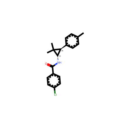 Cc1ccc([C@H]2[C@H](NC(=O)c3ccc(Cl)cc3)C2(C)C)cc1